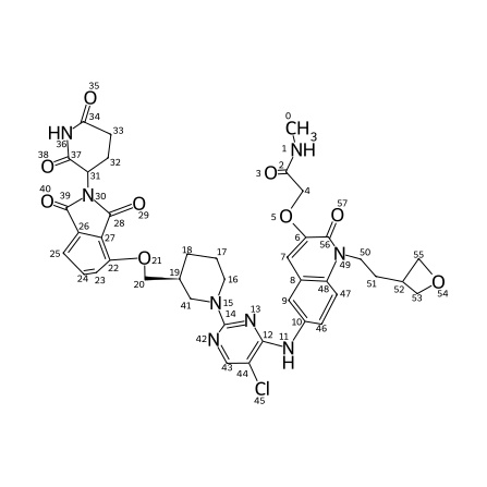 CNC(=O)COc1cc2cc(Nc3nc(N4CCC[C@H](COc5cccc6c5C(=O)N(C5CCC(=O)NC5=O)C6=O)C4)ncc3Cl)ccc2n(CCC2COC2)c1=O